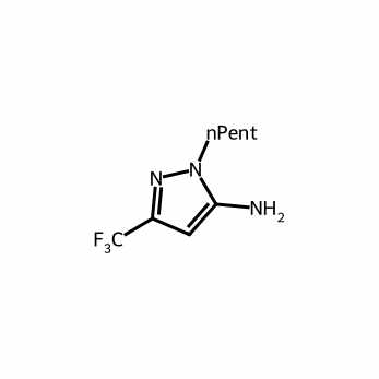 CCCCCn1nc(C(F)(F)F)cc1N